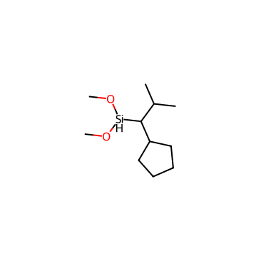 CO[SiH](OC)C(C(C)C)C1CCCC1